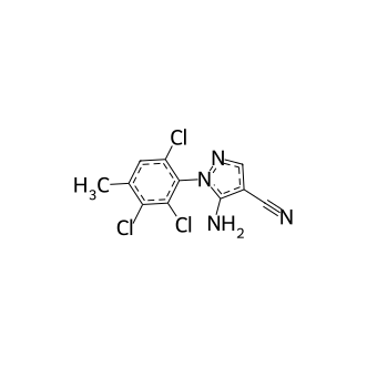 Cc1cc(Cl)c(-n2ncc(C#N)c2N)c(Cl)c1Cl